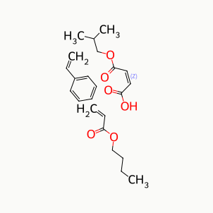 C=CC(=O)OCCCC.C=Cc1ccccc1.CC(C)COC(=O)/C=C\C(=O)O